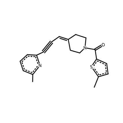 Cc1cccc(C#CC=C2CCN(C(=O)c3ccc(C)s3)CC2)n1